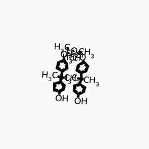 CC(C)(c1ccc(O)cc1)c1ccc(O[Si](C)(C)O[Si](C)(C)Oc2ccc(C(C)(C)c3ccc(O)cc3)cc2)cc1